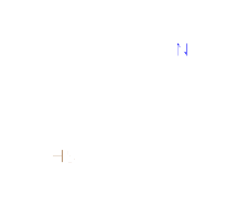 SCC1C[N]C1